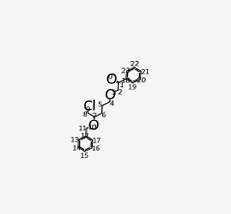 O=C(COCCCC(CCl)OCc1ccccc1)c1ccccc1